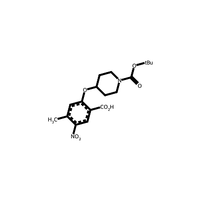 Cc1cc(OC2CCN(C(=O)OC(C)(C)C)CC2)c(C(=O)O)cc1[N+](=O)[O-]